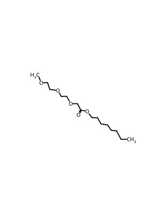 CCCCCCCCOC(=O)COCCOCCOC